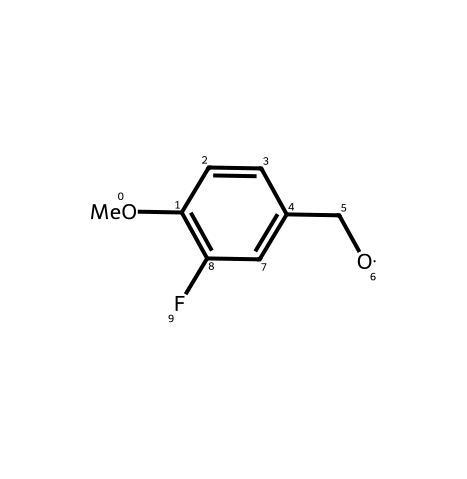 COc1ccc(C[O])cc1F